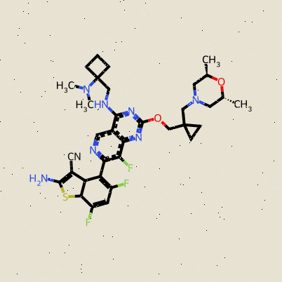 C[C@@H]1CN(CC2(COc3nc(NCC4(N(C)C)CCC4)c4cnc(C5=C(F)C=C(F)C6SC(N)=C(C#N)C56)c(F)c4n3)CC2)C[C@@H](C)O1